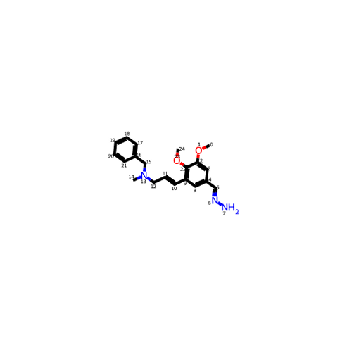 COc1cc(C=NN)cc(C=CCN(C)Cc2ccccc2)c1OC